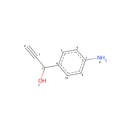 C#CC(O)c1ccc(N)cc1